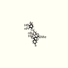 CCCC[C@@H](O)[C@@H](/C=C\CCOc1ccc(C(C)=O)c(O)c1CCC)c1c(C(=O)OC)oc2c(c1=O)=CCC(=S)C=2